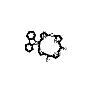 Brc1c2nc(cc3ccc([nH]3)c([SiH]3c4ccccc4-c4ccccc43)c3nc(c(Br)c4ccc1[nH]4)C=C3)C=C2